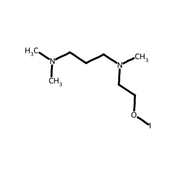 CN(C)CCCN(C)CCOI